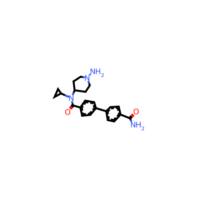 NC(=O)c1ccc(-c2ccc(C(=O)N(C3CC3)C3CCN(N)CC3)cc2)cc1